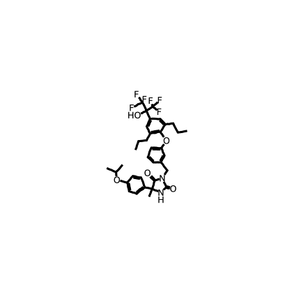 CCCc1cc(C(O)(C(F)(F)F)C(F)(F)F)cc(CCC)c1Oc1cccc(CN2C(=O)NC(C)(c3ccc(OC(C)C)cc3)C2=O)c1